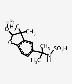 CCCOC1Oc2ccc(C(C)(C)NS(=O)(=O)O)cc2C1(C)C